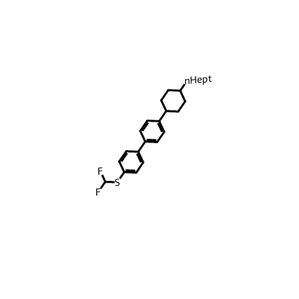 CCCCCCCC1CCC(c2ccc(-c3ccc(SC(F)F)cc3)cc2)CC1